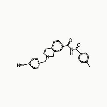 Cc1ccc(C(=O)NC(=O)c2ccc3c(c2)CN(Cc2ccc(C#N)cc2)C=C3)cc1